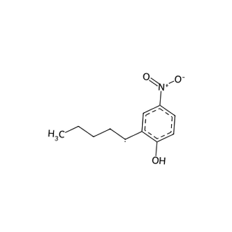 CCCC[CH]c1cc([N+](=O)[O-])ccc1O